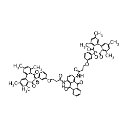 Cc1cc(C)c2c(c1)-c1cc(C)cc(C)c1C(=O)P(=O)(c1cccc(OCCC(=O)Nc3ccc(NC(=O)CCOc4cccc(P5(=O)C(=O)c6c(C)cc(C)cc6-c6cc(C)cc(C)c6C5=O)c4)c4c3C(=O)c3ccccc3C4=O)c1)C2=O